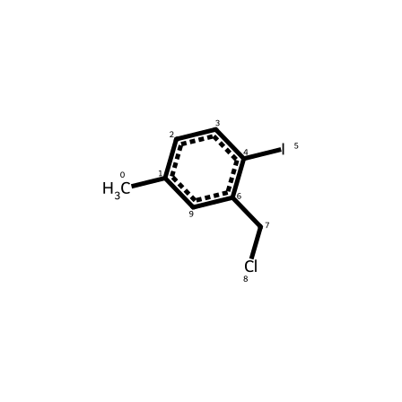 Cc1ccc(I)c(CCl)c1